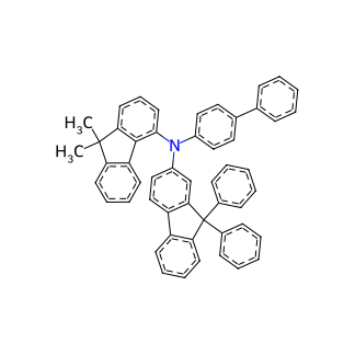 CC1(C)c2ccccc2-c2c(N(c3ccc(-c4ccccc4)cc3)c3ccc4c(c3)C(c3ccccc3)(c3ccccc3)c3ccccc3-4)cccc21